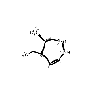 C[C@H]1NNC=CC1O